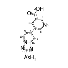 O=C(O)c1cncc(-c2ccn3nc([AsH2])nc3c2)c1